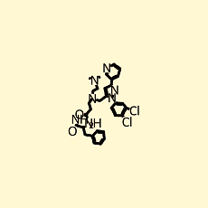 CN(C)CCN(CCC(=O)NC(Cc1ccccc1)C(N)=O)Cc1cc(-c2cccnc2)nn1-c1ccc(Cl)c(Cl)c1